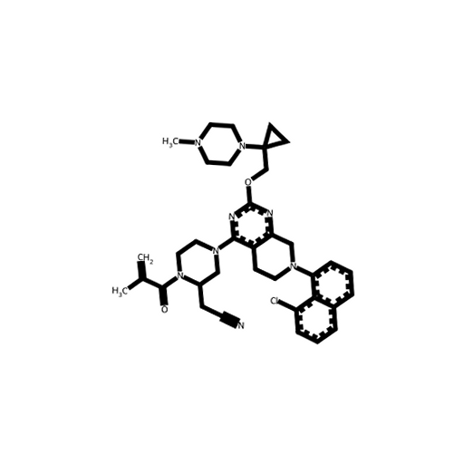 C=C(C)C(=O)N1CCN(c2nc(OCC3(N4CCN(C)CC4)CC3)nc3c2CCN(c2cccc4cccc(Cl)c24)C3)CC1CC#N